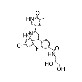 Cc1cc(/C(CC(c2ccc(C(=O)NC[C@@H](O)CO)cc2)c2ccc(Cl)cc2F)=N/O)c[nH]c1=O